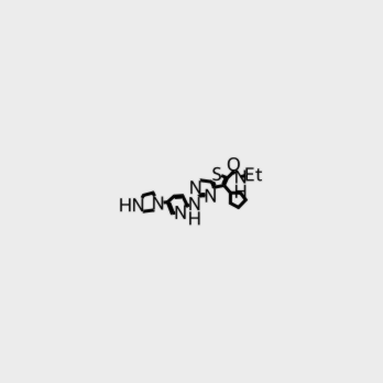 CCNC(=O)c1sc2cnc(Nc3ccc(N4CCNCC4)cn3)nc2c1C1CCCC1